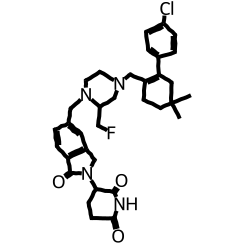 CC1(C)CCC(CN2CCN(Cc3ccc4c(c3)CN(C3CCC(=O)NC3=O)C4=O)C(CF)C2)=C(c2ccc(Cl)cc2)C1